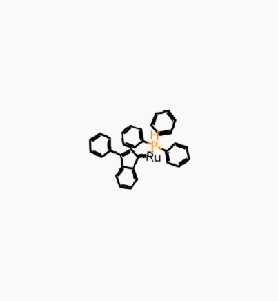 C1=C(c2ccccc2)c2ccccc2[C]1=[Ru][PH](c1ccccc1)(c1ccccc1)c1ccccc1